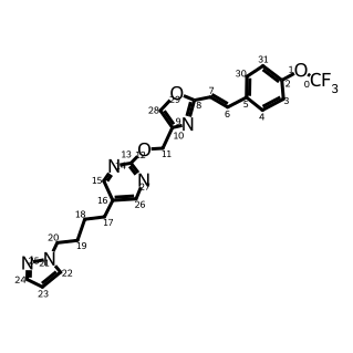 FC(F)(F)Oc1ccc(C=Cc2nc(COc3ncc(CCCCn4cccn4)cn3)co2)cc1